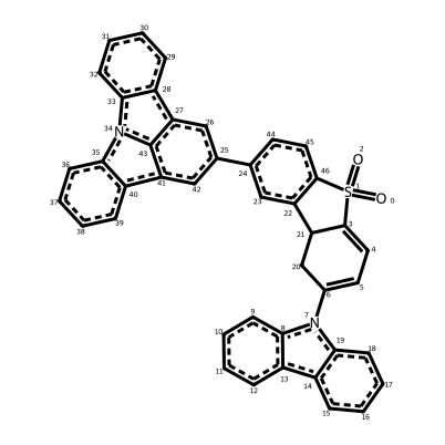 O=S1(=O)C2=CC=C(n3c4ccccc4c4ccccc43)CC2c2cc(-c3cc4c5ccccc5n5c6ccccc6c(c3)c45)ccc21